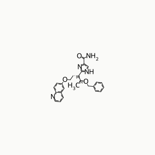 C[C@H](OCc1ccccc1)[C@H](CCOc1ccc2ncccc2c1)c1nc(C(N)=O)c[nH]1